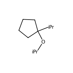 CC(C)OC1(C(C)C)CCCC1